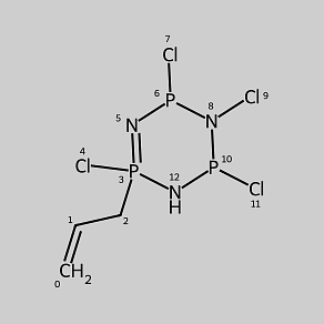 C=CCP1(Cl)=NP(Cl)N(Cl)P(Cl)N1